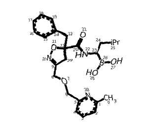 Cc1cccc(COCC2=NOC(Cc3ccccc3)(C(=O)N[C@@H](CC(C)C)B(O)O)C2)n1